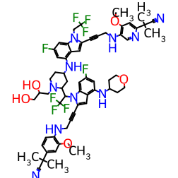 COc1cc(C(C)(C)C#N)ccc1NCC#Cc1cc2c(NC3CCOCC3)cc(F)cc2n1C(C1CC(Nc2cc(F)cc3c2cc(C#CCNc2cnc(C(C)(C)C#N)cc2OC)n3CC(F)(F)F)CCN1CC(O)CO)C(F)(F)F